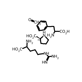 C=O.N=C(N)NCCCC(N)C(=O)O.NC(Cc1ccccc1)C(=O)O.O=C(O)[C@@H]1CCCN1